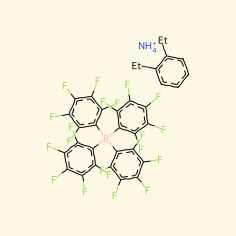 CCc1ccccc1CC.Fc1c(F)c(F)c([B-](c2c(F)c(F)c(F)c(F)c2F)(c2c(F)c(F)c(F)c(F)c2F)c2c(F)c(F)c(F)c(F)c2F)c(F)c1F.[NH4+]